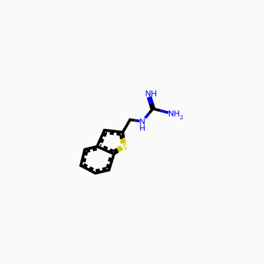 N=C(N)NCc1cc2ccccc2s1